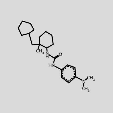 CN(C)c1ccc(NC(=O)NC2CCCCC2(C)CC2CCCCC2)cc1